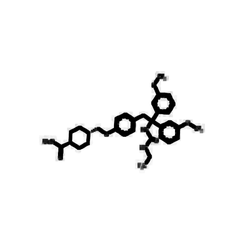 COC(=O)[C@H]1CC[C@H](COc2ccc(CC(NC(=O)NCC(F)(F)F)(c3cccc(OC(F)(F)F)c3)c3cccc(OC(F)(F)F)c3)cc2)CC1